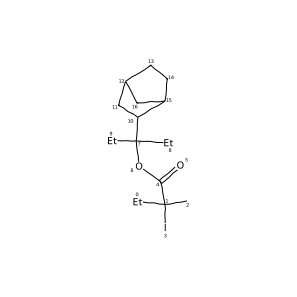 CCC(C)(I)C(=O)OC(CC)(CC)C1CC2CCC1C2